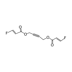 O=C(C=CF)OCC#CCOC(=O)C=CF